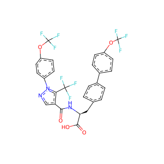 O=C(N[C@@H](Cc1ccc(-c2ccc(OC(F)(F)F)cc2)cc1)C(=O)O)c1cnn(-c2ccc(OC(F)(F)F)cc2)c1C(F)(F)F